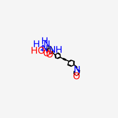 NC[C@H](NC(=O)c1ccc(C#Cc2ccc(CN3CCOCC3)cc2)cc1)C(=O)NO